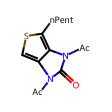 CCCCCc1scc2c1n(C(C)=O)c(=O)n2C(C)=O